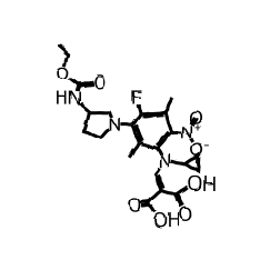 CCOC(=O)NC1CCN(c2c(C)c(N(C=C(C(=O)O)C(=O)O)C3CC3)c([N+](=O)[O-])c(C)c2F)C1